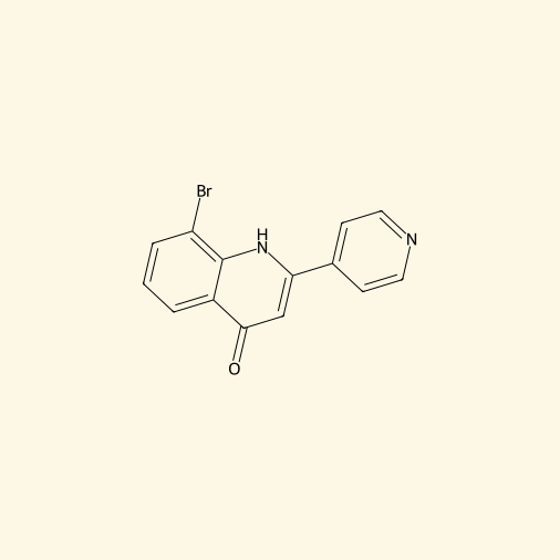 O=c1cc(-c2ccncc2)[nH]c2c(Br)cccc12